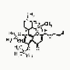 CN1CC[C@H](c2c(O[Si](C)(C)C(C)(C)C)cc(O[Si](C)(C)C(C)(C)C)c3c(=O)cc(COCCI)oc23)C(O[Si](C)(C)C(C)(C)C)C1